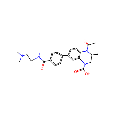 CC(=O)N1c2ccc(-c3ccc(C(=O)NCCN(C)C)cc3)cc2N(C(=O)O)C[C@@H]1C